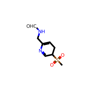 CS(=O)(=O)C1C=NC(CNC=O)=CC1